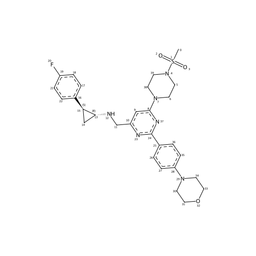 CS(=O)(=O)N1CCN(c2cc(CN[C@@H]3C[C@H]3c3ccc(F)cc3)nc(-c3ccc(N4CCOCC4)cc3)n2)CC1